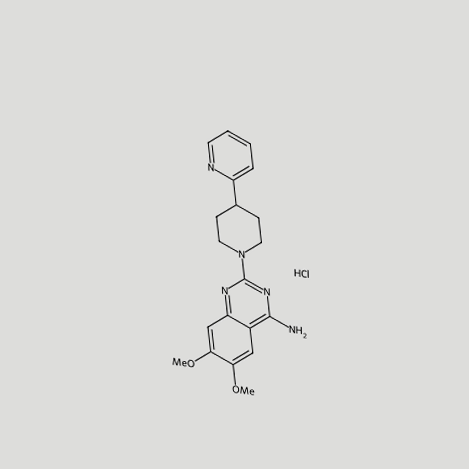 COc1cc2nc(N3CCC(c4ccccn4)CC3)nc(N)c2cc1OC.Cl